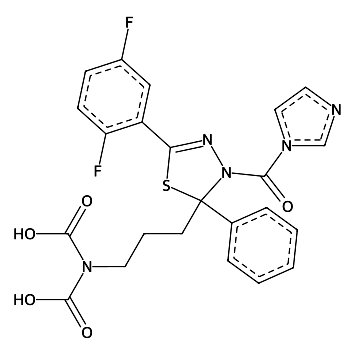 O=C(O)N(CCCC1(c2ccccc2)SC(c2cc(F)ccc2F)=NN1C(=O)n1ccnc1)C(=O)O